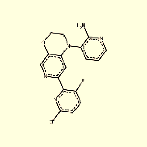 Nc1ncccc1N1CCOc2cnc(-c3nc(Cl)ccc3F)cc21